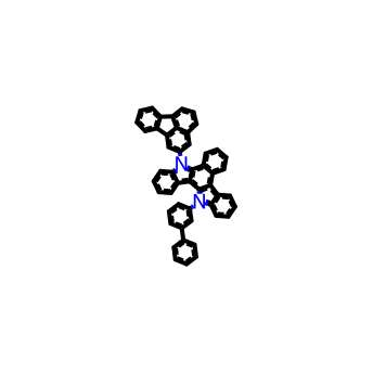 c1ccc(-c2cccc(-n3c4ccccc4c4c5ccccc5c5c(c6ccccc6n5-c5cc6c7c(cccc7c5)-c5ccccc5-6)c43)c2)cc1